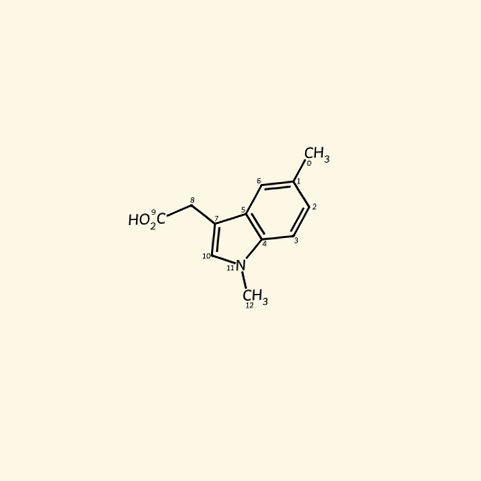 Cc1ccc2c(c1)c(CC(=O)O)cn2C